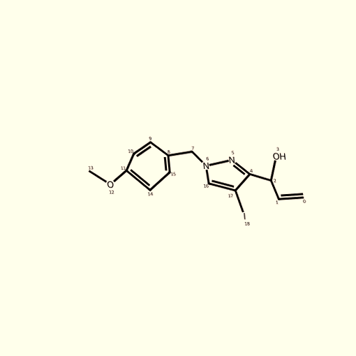 C=CC(O)c1nn(Cc2ccc(OC)cc2)cc1I